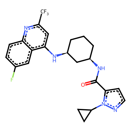 O=C(N[C@@H]1CCC[C@H](Nc2cc(C(F)(F)F)nc3ccc(F)cc23)C1)c1ccnn1C1CC1